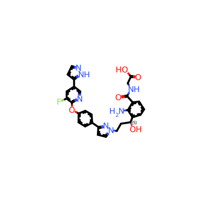 Nc1c(C(=O)NCC(=O)O)cccc1[C@@H](O)CCn1ccc(-c2ccc(Oc3ncc(-c4ccn[nH]4)cc3F)cc2)n1